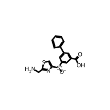 NCc1nc([S+]([O-])c2cc(C(=O)O)cc(-c3ccccc3)c2)cs1